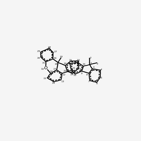 CC1(C)c2ccccc2-c2cc(-c3cccc4c3C(C)(c3ccccc3)c3ccccc3O4)ccc21